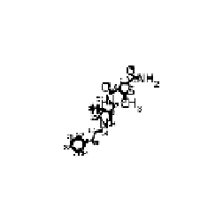 Cc1sc(C(N)=O)cc1C(=O)N1CC2CN(CC[CH]c3ccccc3)C[C@H]2C1